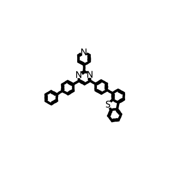 c1ccc(-c2ccc(-c3cc(-c4ccc(-c5cccc6c5sc5ccccc56)cc4)nc(-c4ccncc4)n3)cc2)cc1